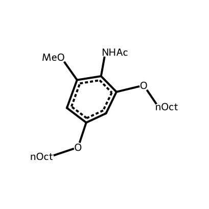 CCCCCCCCOc1cc(OC)c(NC(C)=O)c(OCCCCCCCC)c1